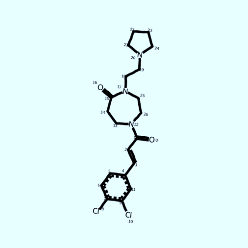 O=C(C=Cc1ccc(Cl)c(Cl)c1)N1CCC(=O)N(CCN2CCCC2)CC1